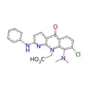 CN(C)c1c(Cl)ccc2c(=O)c3ccc(Nc4ccccc4)nc3n(CC(=O)O)c12